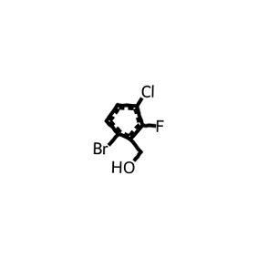 OCc1c(Br)ccc(Cl)c1F